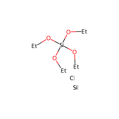 CCO[Si](OCC)(OCC)OCC.[C].[Si]